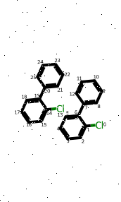 Clc1ccccc1-c1ccccc1.Clc1ccccc1-c1ccccc1